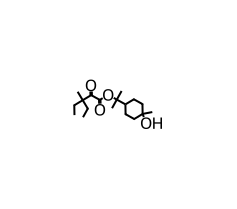 CCC(C)(CC)C(=O)C(=O)OC(C)(C)C1CCC(C)(O)CC1